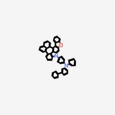 c1ccc(-c2cccc(N(c3ccccc3)c3ccc(-n4c5cccc6c5c5c(c7c(cc54)oc4ccccc47)-c4cccc5cccc-6c45)cc3)c2)cc1